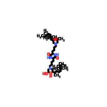 CCC(C)(C)/C=C\C(C)(C)CC(O)CN(CCCCC1NC(=O)C(CCCCN(CCO)CC(O)C(C)C/C=C\C(C)(C)C(C)(C)C)NC1=O)CC(C)O